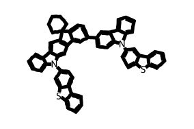 c1ccc2c(c1)sc1cc(-n3c4ccccc4c4cc5c(cc43)-c3cc(-c4ccc6c(c4)c4ccccc4n6-c4ccc6sc7ccccc7c6c4)ccc3C53CCCCC3)ccc12